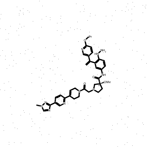 C=C(c1ccc(OC(C)C)nc1)c1cc(NC(=O)[C@]2(OC)CCN(CC(=O)N3CC=C(c4ccc(-c5ncn(C)n5)cn4)CC3)C2)ccc1NN